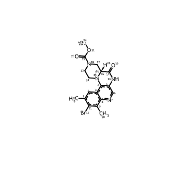 Cc1cc2c3c(cnc2c(C)c1Br)NC(=O)[C@H]1CN(C(=O)OC(C)(C)C)CCN31